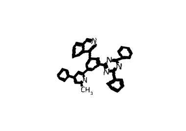 Cc1cc(-c2ccccc2)cc(-c2cc(-c3nc(-c4ccccc4)nc(-c4ccccc4)n3)cc(-c3cncc4ccccc34)c2)n1